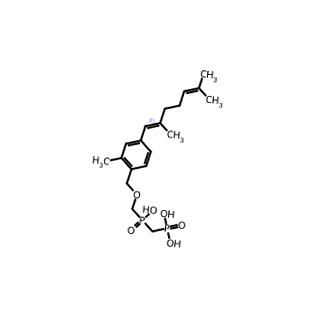 CC(C)=CCC/C(C)=C/c1ccc(COCP(=O)(O)CP(=O)(O)O)c(C)c1